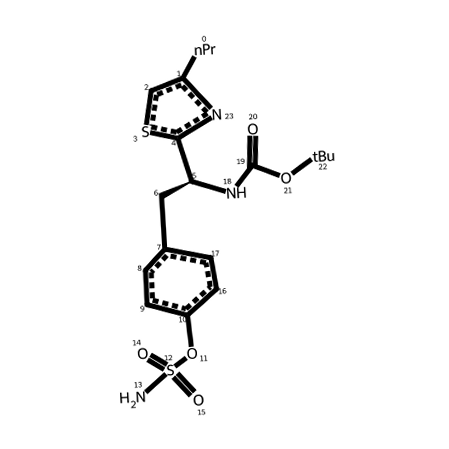 CCCc1csc([C@H](Cc2ccc(OS(N)(=O)=O)cc2)NC(=O)OC(C)(C)C)n1